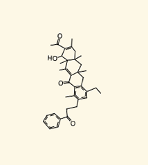 CCc1cc(CCC(=O)c2ccccc2)c(C)c2c1CC1(C)CC3(C)CC(C)=C(C(C)=O)C(O)C3(C)C(C)=C1C2=O